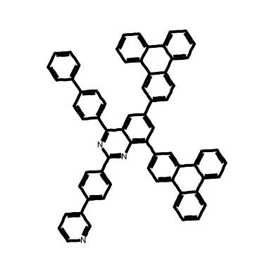 c1ccc(-c2ccc(-c3nc(-c4ccc(-c5cccnc5)cc4)nc4c(-c5ccc6c7ccccc7c7ccccc7c6c5)cc(-c5ccc6c7ccccc7c7ccccc7c6c5)cc34)cc2)cc1